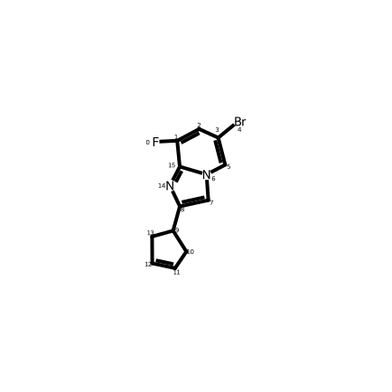 Fc1cc(Br)cn2cc(C3CC=CC3)nc12